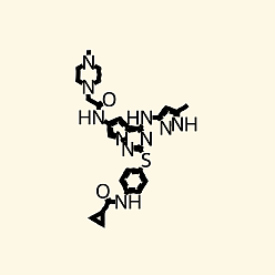 Cc1cc(Nc2nc(Sc3ccc(NC(=O)C4CC4)cc3)nn3cc(NC(=O)CN4CCN(C)CC4)cc23)n[nH]1